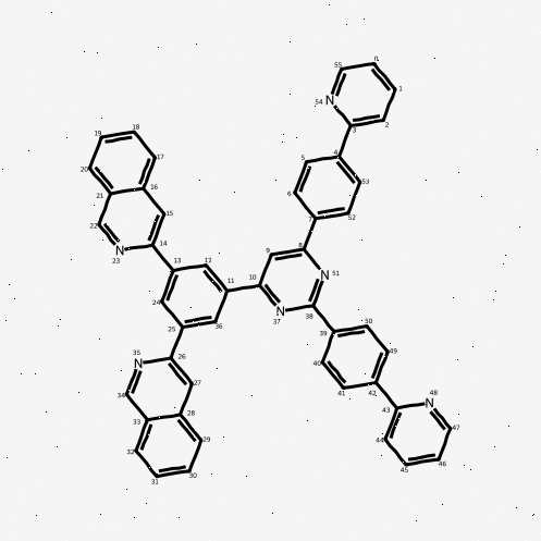 c1ccc(-c2ccc(-c3cc(-c4cc(-c5cc6ccccc6cn5)cc(-c5cc6ccccc6cn5)c4)nc(-c4ccc(-c5ccccn5)cc4)n3)cc2)nc1